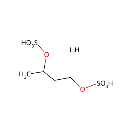 CC(CCOS(=O)(=O)O)OS(=O)(=O)O.[LiH]